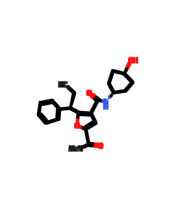 CNC(=O)c1cc(C(=O)N[C@H]2CC[C@H](O)CC2)c([C@H](CC#N)c2ccccc2)o1